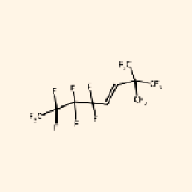 FC(F)(F)C(F)(F)C(F)(F)C(F)(F)C=CC(C(F)(F)F)(C(F)(F)F)C(F)(F)F